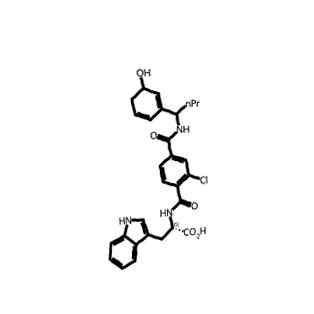 CCCC(NC(=O)c1ccc(C(=O)N[C@@H](Cc2c[nH]c3ccccc23)C(=O)O)c(Cl)c1)C1=CC(O)CC=C1